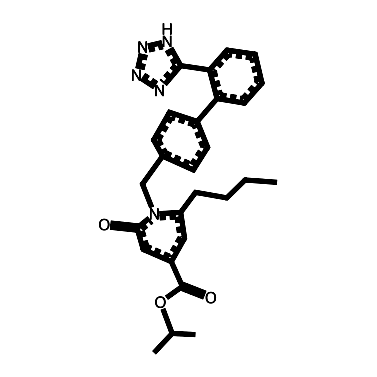 CCCCc1cc(C(=O)OC(C)C)cc(=O)n1Cc1ccc(-c2ccccc2-c2nnn[nH]2)cc1